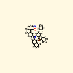 c1ccc(-c2nc3ccc4ccc5ccc(N(c6ccc7ccccc7c6)c6cccc7c6sc6ccccc67)cc5c4c3o2)cc1